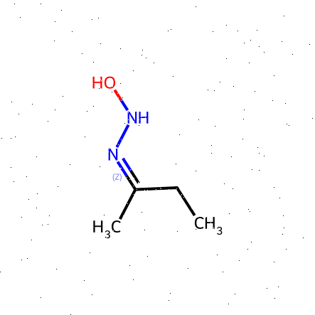 CC/C(C)=N\NO